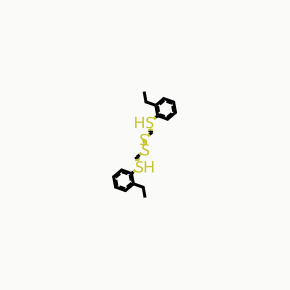 CCc1ccccc1[SH]=CSSC=[SH]c1ccccc1CC